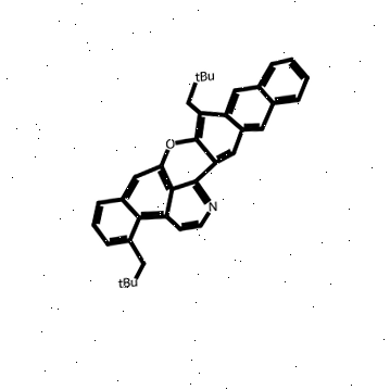 CC(C)(C)Cc1c2c(cc3cc4ccccc4cc13)-c1nccc3c1c(cc1cccc(CC(C)(C)C)c13)O2